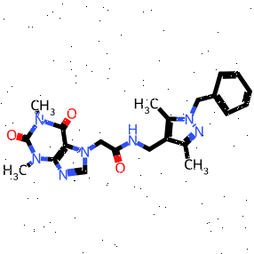 Cc1nn(Cc2ccccc2)c(C)c1CNC(=O)Cn1cnc2c1c(=O)n(C)c(=O)n2C